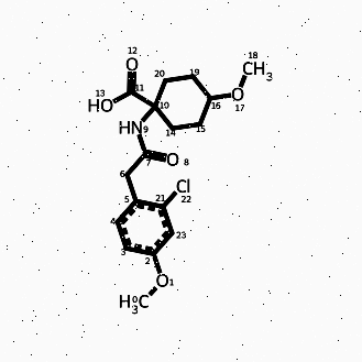 COc1ccc(CC(=O)NC2(C(=O)O)CCC(OC)CC2)c(Cl)c1